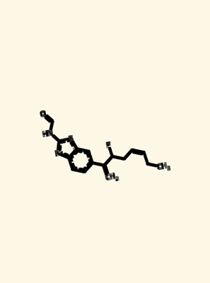 C=C(c1ccc2nc(NC=O)sc2c1)C(F)C/C=C\CC